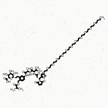 COCCOCCOCCOCCOCCOCCOCCOCCOCCOCCOCCOCCn1cc([C@@H](CC(=O)N[C@H](C(=O)N[C@@H](C)C(=O)Nc2ccc(COC(=O)C(C)C)c(CC[C@@H]3O[C@H](C(=O)O)[C@@H](O)[C@H](O)[C@H]3O)c2)C(C)C)N2C(=O)C=CC2=O)nn1